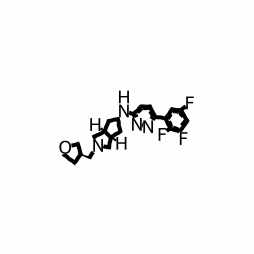 Fc1cc(F)c(F)c(-c2ccc(N[C@@H]3C[C@@H]4CN(C[C@H]5CCOC5)C[C@@H]4C3)nn2)c1